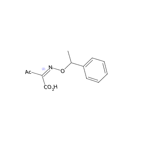 CC(=O)/C(=N/OC(C)c1ccccc1)C(=O)O